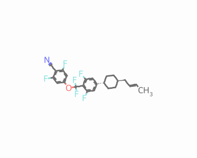 CC=CC[C@H]1CC[C@H](c2cc(F)c(C(F)(F)Oc3cc(F)c(C#N)c(F)c3)c(F)c2)CC1